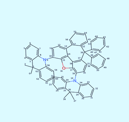 CC1(C)c2ccccc2N(c2ccc3c4c2oc2c(N5c6ccccc6C(C)(C)c6ccccc65)ccc(c24)C(c2ccccc2)(c2ccccc2)c2ccccc2-3)c2ccccc21